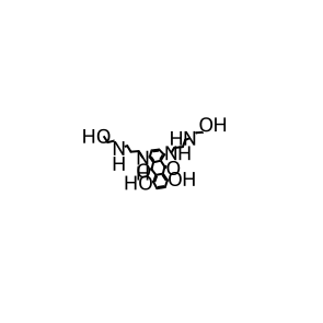 O=C1c2c(O)ccc(O)c2C(=O)c2c(NCCCNCCO)ccc(NCCCNCCO)c21